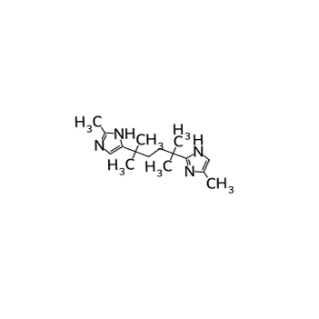 Cc1c[nH]c(C(C)(C)CCC(C)(C)c2cnc(C)[nH]2)n1